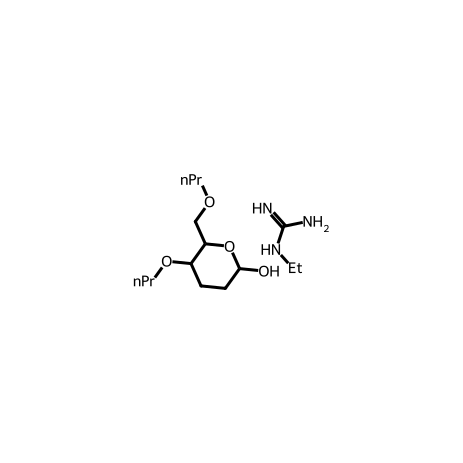 CCCOCC1OC(O)CCC1OCCC.CCNC(=N)N